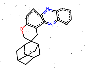 c1ccc2nc3c4c(ccc3nc2c1)OCC1(C4)C2CC3CC(C2)CC1C3